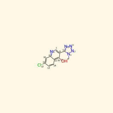 Cn1nnnc1-c1cnc2cc(Cl)ccc2c1O